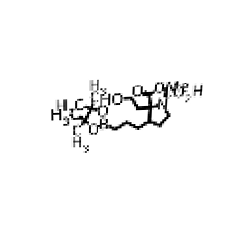 COC(=O)C1(CCO)C(CCCB2OC(C)(C)C(C)(C)O2)CCN1C(=O)O